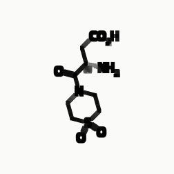 N[C@@H](CC(=O)O)C(=O)N1CCS(=O)(=O)CC1